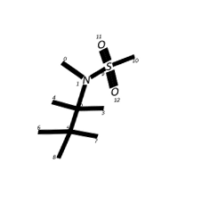 CN(C(C)(C)C(C)(C)C)S(C)(=O)=O